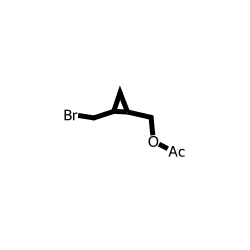 CC(=O)OCC1CC1CBr